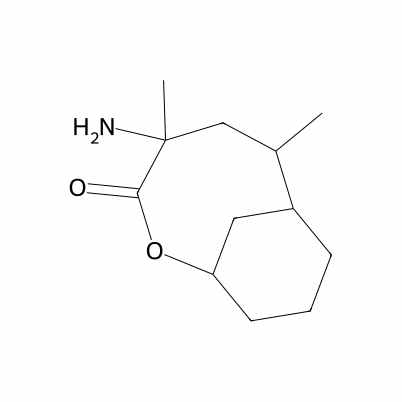 CC1CC(C)(N)C(=O)OC2CCCC1C2